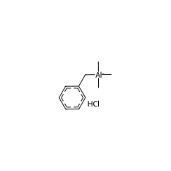 Cl.[CH3][Al-]([CH3])([CH3])[CH2]c1ccccc1